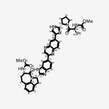 COC(=O)N[C@H]1CCc2cccc3c2N(C1=O)[C@H](c1nc2ccc(-c4cnc5cc(-c6c[nH]c([C@@H]7CCCN7C(=O)[C@@H](NC(=O)OC)C(C)C)n6)ccc5n4)cc2[nH]1)C3